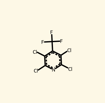 FC(F)(F)c1c(Cl)c(Cl)nc(Cl)c1Cl